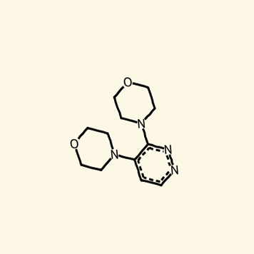 c1cc(N2CCOCC2)c(N2CCOCC2)nn1